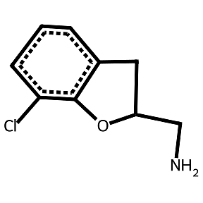 NCC1Cc2cccc(Cl)c2O1